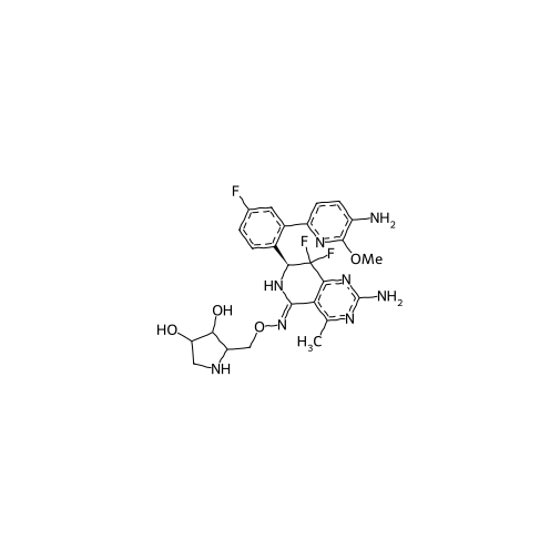 COc1nc(-c2cc(F)ccc2[C@@H]2N/C(=N\OCC3NCC(O)C3O)c3c(C)nc(N)nc3C2(F)F)ccc1N